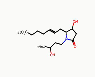 CCCCCCC(O)CCN1C(=O)CC(O)C1CC=CCCCC(=O)OCC